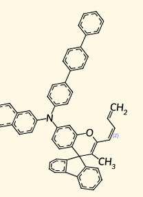 C=C/C=C\C1=C(C)C2(c3ccc(N(c4ccc(-c5ccc(-c6ccccc6)cc5)cc4)c4ccc5ccccc5c4)cc3O1)c1ccccc1-c1ccccc12